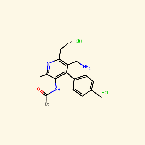 CCC(=O)Nc1c(C)nc(CC(C)C)c(CN)c1-c1ccc(C)cc1.Cl.Cl